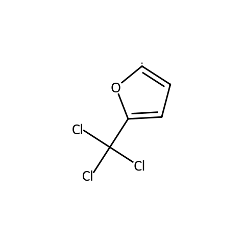 ClC(Cl)(Cl)c1cc[c]o1